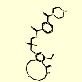 CCc1nn(CC(C)(C)COC(=O)c2cccc(C(=O)N3CCNCC3)c2)c2c1C(=O)NCCCOCCC2